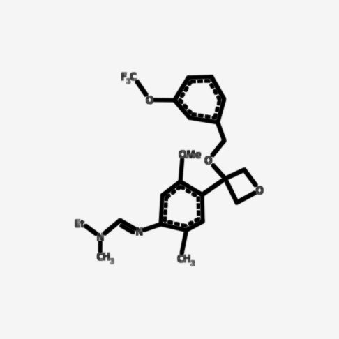 CCN(C)C=Nc1cc(OC)c(C2(OCc3cccc(OC(F)(F)F)c3)COC2)cc1C